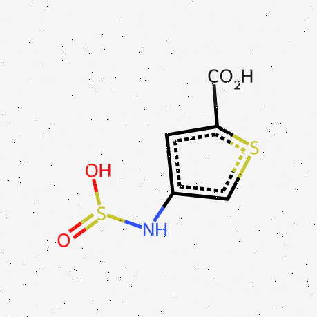 O=C(O)c1cc(NS(=O)O)cs1